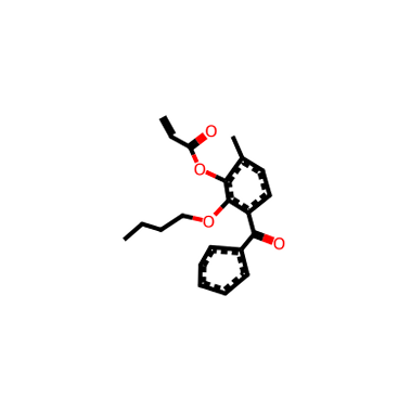 C=CC(=O)Oc1c(C)ccc(C(=O)c2ccccc2)c1OCCCC